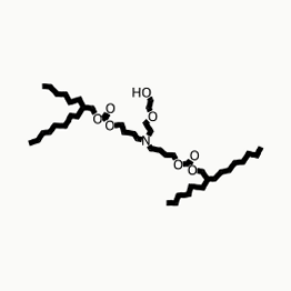 CCCCCCCCC(CCCCCC)COC(=O)OCCCCN(CCCCOC(=O)OCC(CCCCCC)CCCCCCCC)CCOCCO